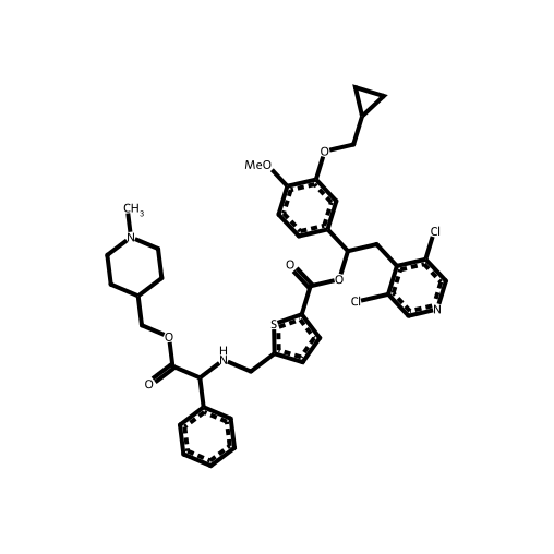 COc1ccc(C(Cc2c(Cl)cncc2Cl)OC(=O)c2ccc(CNC(C(=O)OCC3CCN(C)CC3)c3ccccc3)s2)cc1OCC1CC1